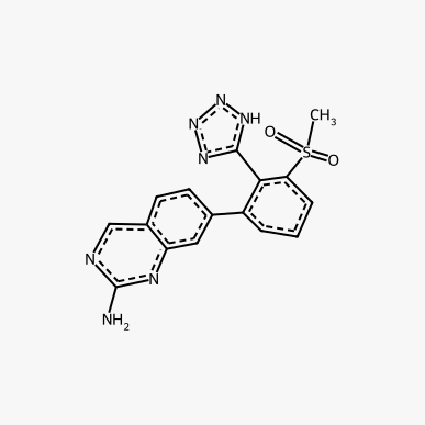 CS(=O)(=O)c1cccc(-c2ccc3cnc(N)nc3c2)c1-c1nnn[nH]1